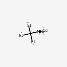 [CH2]CC(N)(CC)CC.[Cd]